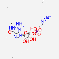 [N-]=[N+]=NCCOP(=O)(O)OC[C@H]1O[C@@H](n2cnc3c(=O)[nH]c(N)nc32)C(O)C1O